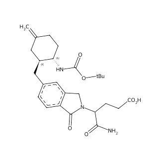 C=C1CC[C@H](NC(=O)OC(C)(C)C)[C@@H](Cc2ccc3c(c2)CN(C(CCC(=O)O)C(N)=O)C3=O)C1